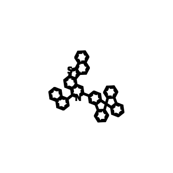 c1ccc2c(c1)-c1ccccc1C21c2ccccc2-c2cc(-c3cc4c(ccc5sc6c7ccccc7ccc6c54)c(-c4cccc5ccccc45)n3)ccc21